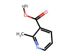 CCCOC(=O)c1cccnc1C